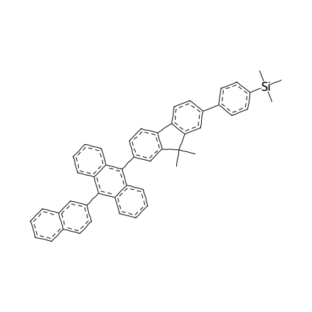 CC1(C)c2cc(-c3ccc([Si](C)(C)C)cc3)ccc2-c2ccc(-c3c4ccccc4c(-c4ccc5ccccc5c4)c4ccccc34)cc21